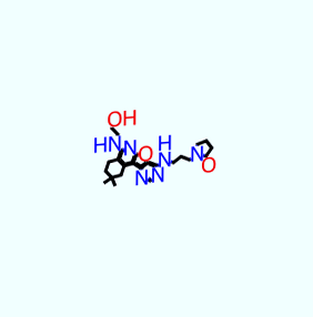 CC1(C)CCc2c(NCCO)nc3oc4c(NCCCN5CCCC5=O)ncnc4c3c2C1